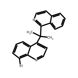 CCc1cccc2c(C(C)(C)c3nccc4ccccc34)ccnc12